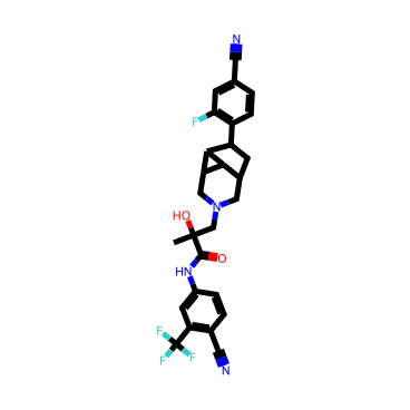 CC(O)(CN1CC2CC(c3ccc(C#N)cc3F)C3C(C1)C23)C(=O)Nc1ccc(C#N)c(C(F)(F)F)c1